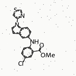 COC(=O)c1cc(Cl)ccc1Nc1ccc2c(ccn2-c2cscn2)c1